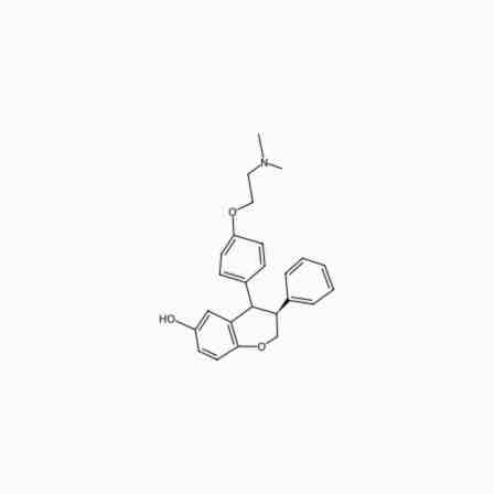 CN(C)CCOc1ccc(C2c3cc(O)ccc3OC[C@@H]2c2ccccc2)cc1